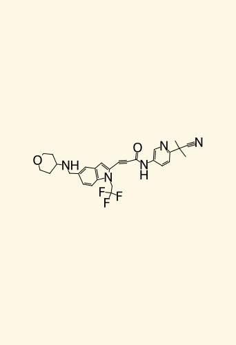 CC(C)(C#N)c1ccc(NC(=O)C#Cc2cc3cc(CNC4CCOCC4)ccc3n2CC(F)(F)F)cn1